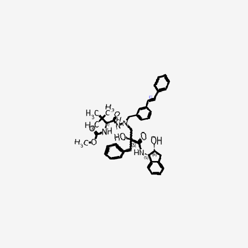 COC(=O)N[C@H](C(=O)NN(Cc1cccc(/C=C/c2ccccc2)c1)C[C@@](O)(Cc1ccccc1)C(=O)N[C@H]1c2ccccc2C[C@H]1O)C(C)(C)C